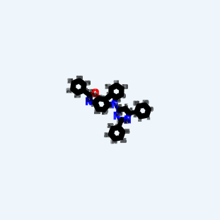 c1ccc(-c2cc(-n3c4ccccc4c4c5oc(-c6ccccc6)nc5ccc43)nc(-c3ccccc3)n2)cc1